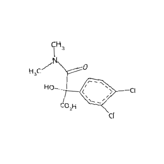 CN(C)C(=O)C(O)(C(=O)O)c1ccc(Cl)c(Cl)c1